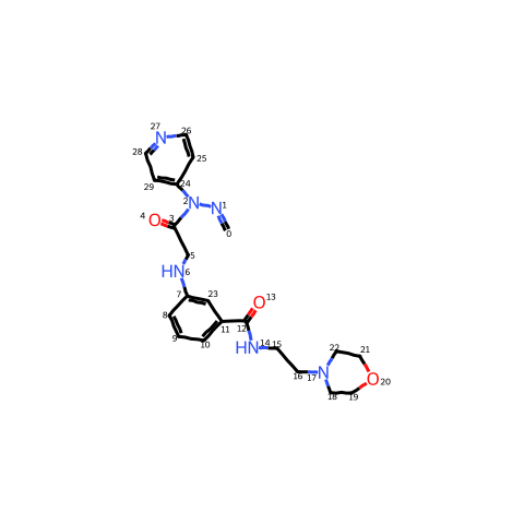 C=NN(C(=O)CNc1cccc(C(=O)NCCN2CCOCC2)c1)c1ccncc1